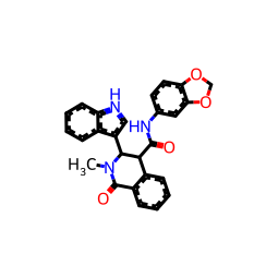 CN1C(=O)c2ccccc2C(C(=O)Nc2ccc3c(c2)OCO3)C1c1c[nH]c2ccccc12